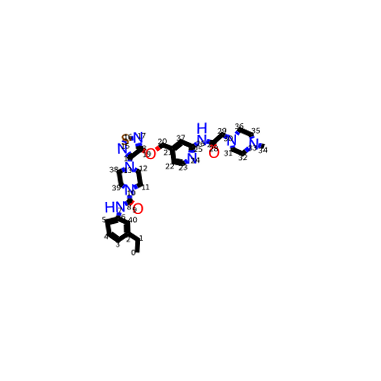 CCc1cccc(NC(=O)N2CCN(c3nsnc3OCc3ccnc(NC(=O)CN4CCN(C)CC4)c3)CC2)c1